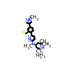 CN(c1ccc(-c2ccc(-c3cnn(C)c3)cc2C(F)F)nn1)C1CC(C)(C)N(I)C(C)(C)C1